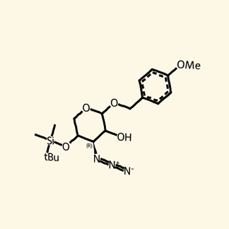 COc1ccc(COC2OCC(O[Si](C)(C)C(C)(C)C)[C@H](N=[N+]=[N-])C2O)cc1